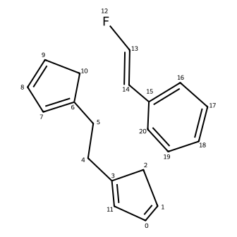 C1=CCC(CCC2=CC=CC2)=C1.FC=Cc1ccccc1